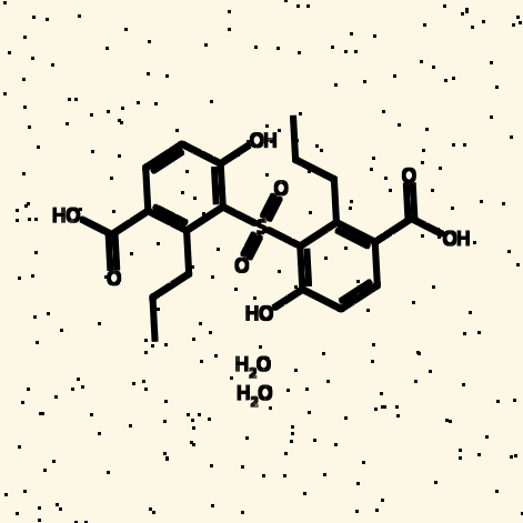 CCCc1c(C(=O)O)ccc(O)c1S(=O)(=O)c1c(O)ccc(C(=O)O)c1CCC.O.O